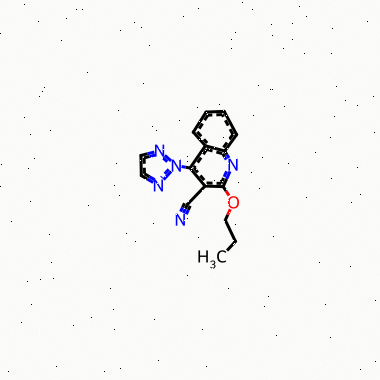 CCCOc1nc2ccccc2c(-n2nccn2)c1C#N